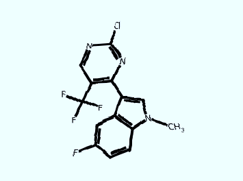 Cn1cc(-c2nc(Cl)ncc2C(F)(F)F)c2cc(F)ccc21